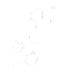 Cc1cccnc1-c1ccnn1C(C)OCc1cccc(O)c1C=O